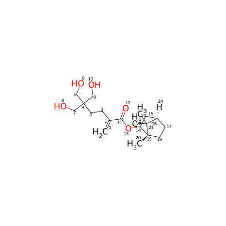 C=C(CCC(CO)(CO)CO)C(=O)OC1C[C@H]2CC[C@@]1(C)C2(C)C